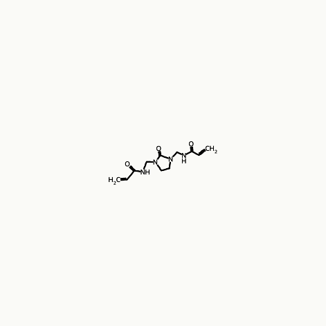 C=CC(=O)NCN1CCN(CNC(=O)C=C)C1=O